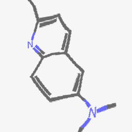 [CH2]c1ccc2cc(N(C)C)ccc2n1